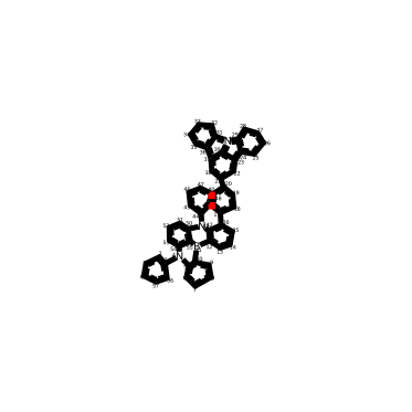 c1ccc(N2c3ccccc3B3c4cccc(-c5ccc(-c6cc7c8ccccc8n8c9ccccc9c(c6)c78)cc5)c4N(c4ccccc4)c4cccc2c43)cc1